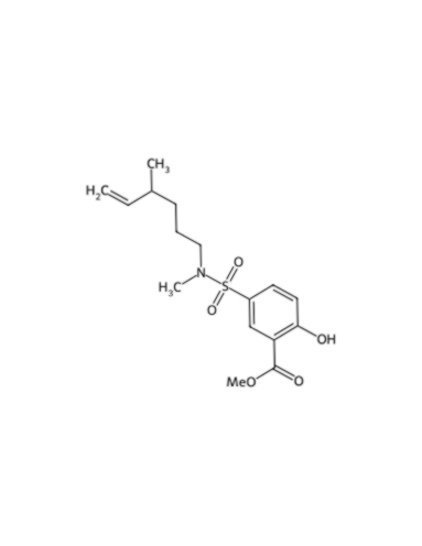 C=CC(C)CCCN(C)S(=O)(=O)c1ccc(O)c(C(=O)OC)c1